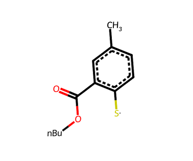 CCCCOC(=O)c1cc(C)ccc1[S]